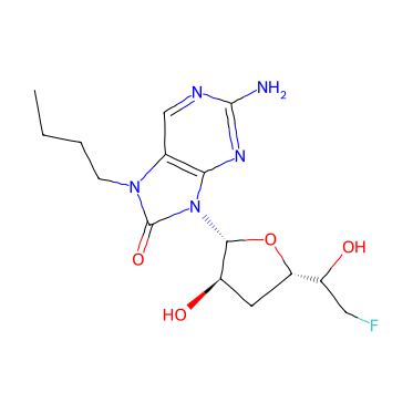 CCCCn1c(=O)n([C@@H]2O[C@H](C(O)CF)C[C@H]2O)c2nc(N)ncc21